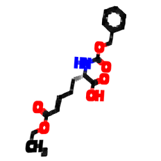 CCOC(=O)/C=C/CC[C@H](NC(=O)OCc1ccccc1)C(=O)O